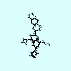 COc1ccc2c(c1)CC(c1nc(N3CCC3)c3cc(-c4cn[nH]c4)cc(OC)c3n1)CO2